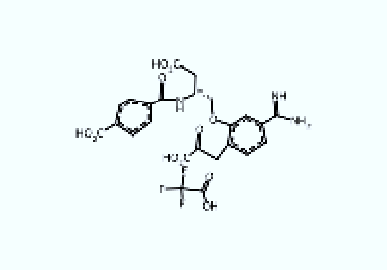 N=C(N)c1ccc(CC(=O)C(=O)O)c(OC[C@@H](CC(=O)O)NC(=O)c2ccc(C(=O)O)cc2)c1.O=C(O)C(F)(F)F